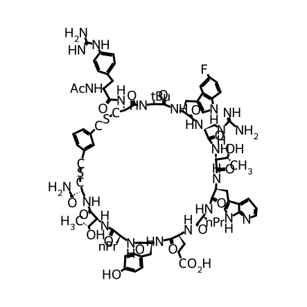 CCC[C@@H]1NC(=O)[C@H](Cc2c[nH]c3ncccc23)NC(=O)[C@H]([C@@H](C)O)NC(=O)[C@H](CNC(=N)N)NC(=O)[C@H](Cc2c[nH]c3ccc(F)cc23)NC(=O)[C@H](C(C)(C)C)NC(=O)[C@@H](NC(=O)[C@H](Cc2ccc(NC(=N)N)cc2)NC(C)=O)CSCc2cccc(c2)CSC[C@@H](C(N)=O)NC(=O)[C@H]([C@@H](C)O)NC(=O)[C@H](CCC)NC(=O)[C@H](Cc2ccc(O)cc2)NC(=O)[C@H](CCC(=O)O)NC1=O